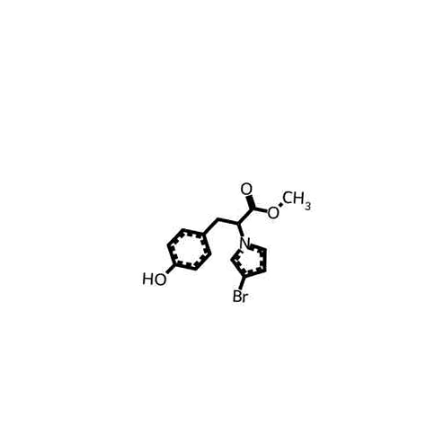 COC(=O)C(Cc1ccc(O)cc1)n1ccc(Br)c1